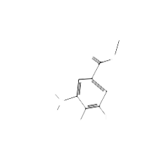 COC(=O)c1cc(F)c(F)c(B(O)O)c1